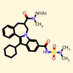 CC(=O)NN(C)C(=O)C1Cc2ccccc2-c2c(C3CCCCC3)c3ccc(C(=O)NS(=O)(=O)N(C)C)cc3n2C1